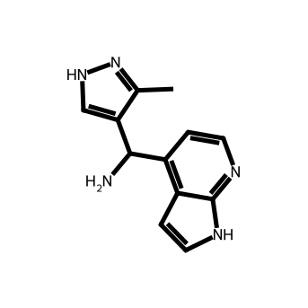 Cc1n[nH]cc1C(N)c1ccnc2[nH]ccc12